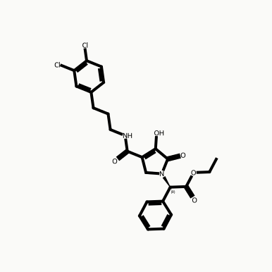 CCOC(=O)[C@@H](c1ccccc1)N1CC(C(=O)NCCCc2ccc(Cl)c(Cl)c2)=C(O)C1=O